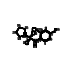 O=S(=O)(Nc1ccc(F)cc1Cl)N1CCCC1